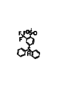 CS(=O)(=O)c1ccc([SH](c2ccccc2)c2ccccc2)cc1C(F)(F)F